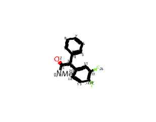 CNC(=O)C(c1ccccc1)c1ccc(F)c(F)c1